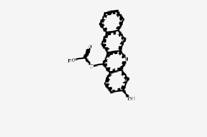 O=C(O)Oc1c2ccc(O)cc2nc2cc3ccccc3cc12